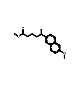 COC(=O)CCCC(C)c1ccc2cc(OC)ccc2c1